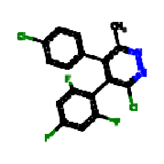 Cc1nnc(Cl)c(-c2c(F)cc(F)cc2F)c1-c1ccc(Cl)cc1